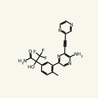 Cc1ccc(C(O)(C(N)=O)C(F)(F)F)cc1-c1cnc(N)c(C#Cc2cnccn2)n1